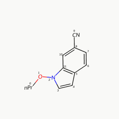 CCCOn1ccc2ccc(C#N)cc21